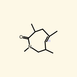 C/C1=C\C(C)CN(C)C(=O)C(C)C1